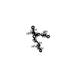 CCCSc1nc(NCCC(=O)OC(=O)C2CCC[N+](OC(=O)C3(C)CCN(c4ccc(C(=O)NC5CCCCC5)c(SCCC)n4)CC3)(c3ccc(C(=O)NC4CCCCC4)c(SCCC)n3)CC2)ccc1C(=O)NC1CCCCC1